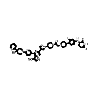 CCC1(c2ccccn2)CCN(c2ccc(-c3nc(-c4cnn(C5CCN(C(=O)CN6CCC(c7ccc(NC8CCC(=O)NC8=O)cc7F)CC6)CC5)c4)cn4ncc(C#N)c34)cn2)CC1